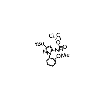 COc1ccccc1-n1nc(C(C)(C)C)cc1NC(=O)OCC(Cl)(Cl)Cl